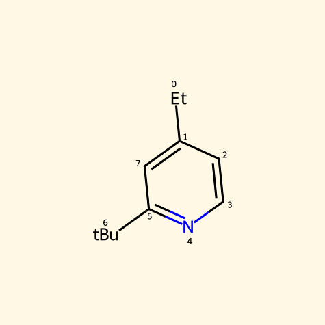 CCc1ccnc(C(C)(C)C)c1